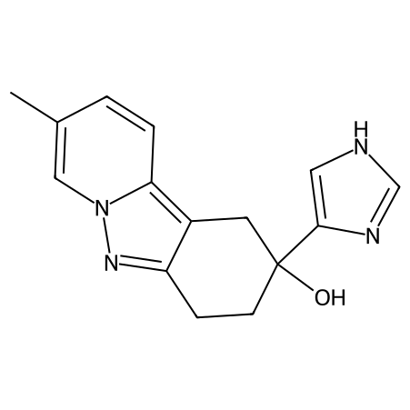 Cc1ccc2c3c(nn2c1)CCC(O)(c1c[nH]cn1)C3